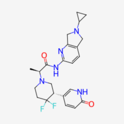 C[C@@H](C(=O)Nc1ccc2c(n1)CN(C1CC1)C2)N1CCC(F)(F)[C@@H](c2ccc(=O)[nH]c2)C1